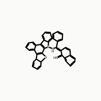 N=C1/C(=C(\Nn2c3ccccc3c3c4ccccc4c4c(c32)SC2C=CC=CC42)c2ccccc2)C=Cc2ccccc21